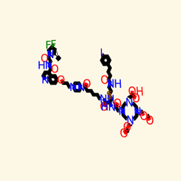 C#C[C@H]1CC(F)(F)CN1C(=O)CNC(=O)c1ccnc2ccc(OCCCN3CCN(C(=O)CCCCCNC(=O)C(CSCCNC(=O)CCCc4ccc(I)cc4)NC(=O)CN4CCN(COC=O)CCN(COC=O)CCN(CC(=O)O)CC4)CC3)cc12